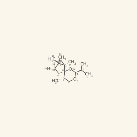 CC(C)[C@H]1OC[C@H](C)[C@]2(C[C@H]3CC[C@]2(C)C3(C)C)O1